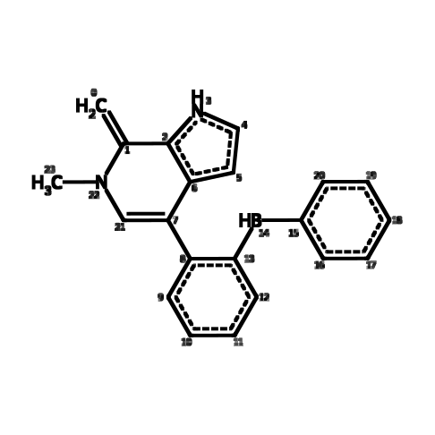 C=C1c2[nH]ccc2C(c2ccccc2Bc2ccccc2)=CN1C